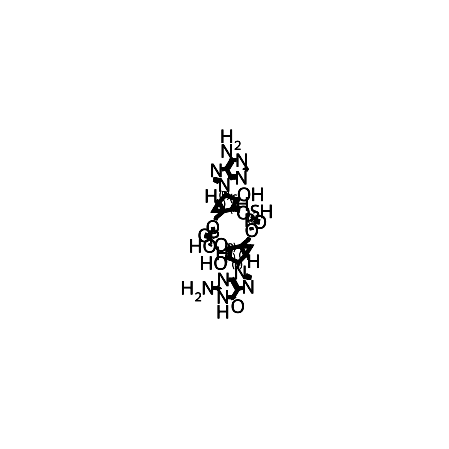 Nc1nc2c(ncn2[C@H]2[C@H](O)[C@@H]3OP(=O)(O)OCC45C[C@@H]4[C@@H](n4cnc6c(N)ncnc64)[C@H](O)[C@@H]5O[P@@](=O)(S)OCC34C[C@H]24)c(=O)[nH]1